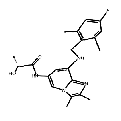 Cc1cc(F)cc(C)c1CNc1cc(NC(=O)[C@@H](C)O)cn2c(C)c(C)nc12